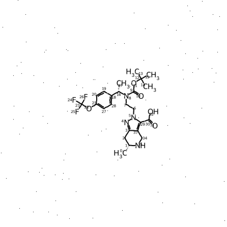 C[C@@H]1Cc2nn(CCN(C(=O)OC(C)(C)C)[C@@H](C)c3ccc(OC(F)(F)F)cc3)c(C(=O)O)c2CN1